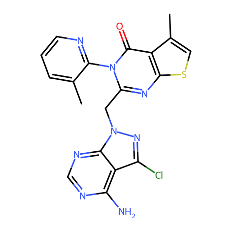 Cc1cccnc1-n1c(Cn2nc(Cl)c3c(N)ncnc32)nc2scc(C)c2c1=O